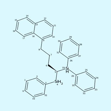 c1ccc([SiH2][C@@H](CCCc2cccc3ccccc23)[SiH](c2ccccc2)c2ccccc2)cc1